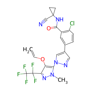 C=COc1c(C(F)(F)C(F)(F)F)nn(C)c1-n1cc(-c2ccc(Cl)c(C(=O)NC3(C#N)CC3)c2)cn1